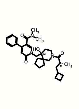 C[C@H](CC1CCC1)C(=O)N1CC[C@@](O)(Cn2cc(C(=O)N(C)C)c(-c3ccccc3)cc2=O)C2(CCCC2)C1